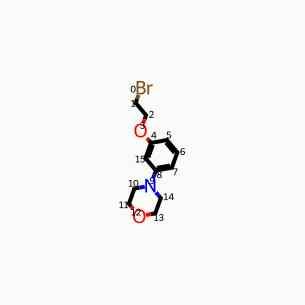 BrCCOc1cccc(N2CCOCC2)c1